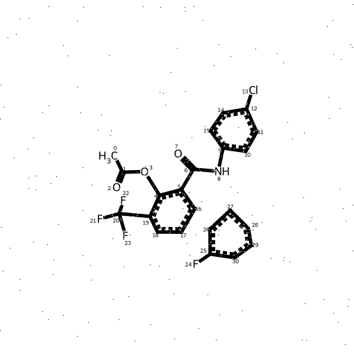 CC(=O)Oc1c(C(=O)Nc2ccc(Cl)cc2)cccc1C(F)(F)F.Fc1ccccc1